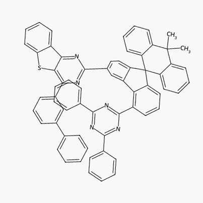 CC1(C)c2ccccc2C2(c3ccc(-c4nc(-c5cccc(-c6ccccc6)c5)c5sc6ccccc6c5n4)cc3-c3c(-c4nc(-c5ccccc5)nc(-c5ccccc5)n4)cccc32)c2ccccc21